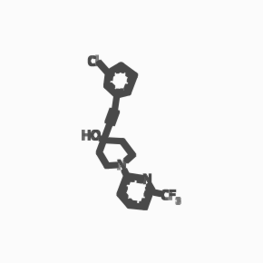 OC1(C#Cc2cccc(Cl)c2)CCN(c2cccc(C(F)(F)F)n2)CC1